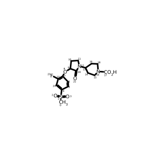 CS(=O)(=O)c1ccc(OC2CCN(C3CCN(C(=O)O)CC3)C2=O)c(F)c1